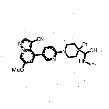 CCC1(C(O)NC(C)C)CCN(c2ccc(-c3cc(OC)cn4ncc(C#N)c34)cn2)CC1